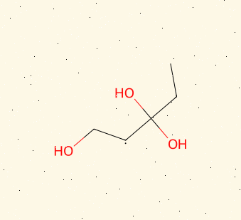 CCC(O)(O)[CH]CO